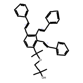 CC(C)(O)COC(C)(C)c1ccc(/C=C/c2ccccc2)c(/C=C/c2ccccc2)c1/C=C/c1ccccc1